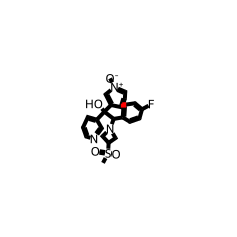 CS(=O)(=O)C1CN(C(c2ccc(F)cc2)C(O)(c2cccnc2)c2ccc[n+]([O-])c2)C1